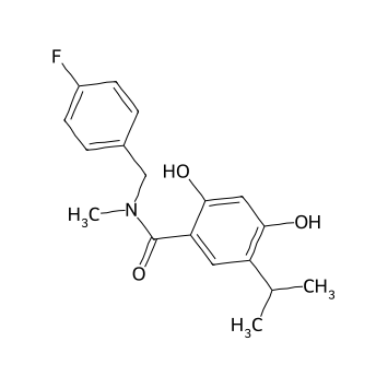 CC(C)c1cc(C(=O)N(C)Cc2ccc(F)cc2)c(O)cc1O